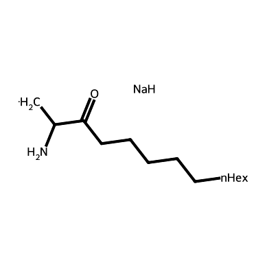 [CH2]C(N)C(=O)CCCCCCCCCCC.[NaH]